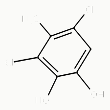 Cc1c(Cl)cc(O)c(O)c1Cl